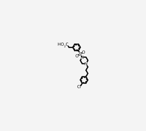 O=C(O)Cc1cccc(S(=O)(=O)N2CCN(CCCc3ccc(Cl)cc3)CC2)c1